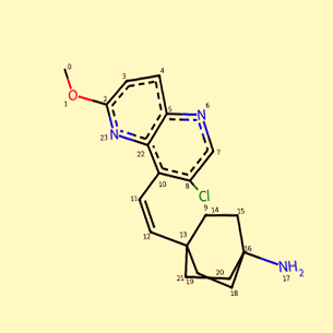 COc1ccc2ncc(Cl)c(/C=C\C34CCC(N)(CC3)CC4)c2n1